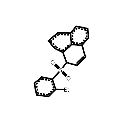 CCc1ccc[c]c1S(=O)(=O)C1C=Cc2cccc3cccc1c23